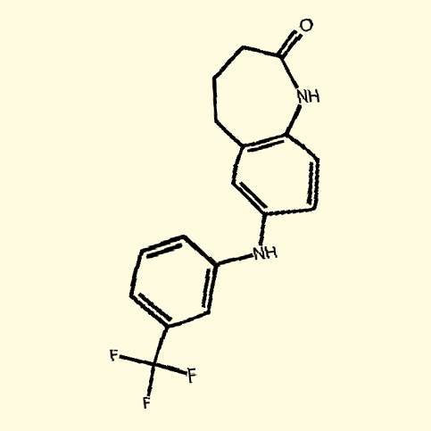 O=C1CCCc2cc(Nc3cccc(C(F)(F)F)c3)ccc2N1